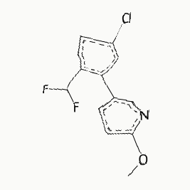 COc1ccc(-c2cc(Cl)ccc2C(F)F)cn1